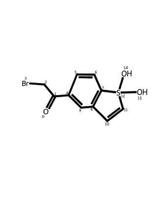 O=C(CBr)c1ccc2c(c1)C=CS2(O)O